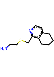 NCCSCc1nccc2c1CCCC2